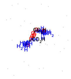 Nc1nc2c(c(=O)[nH]1)N[C@H](CNc1ccc(C(=O)NC(CCC(=O)OCOC(=O)CCC(NC(=O)c3ccc(NC[C@@H]4CNc5nc(N)[nH]c(=O)c5N4)cc3)C(=O)O)C(=O)O)cc1)CN2